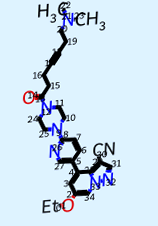 CCOc1cc(-c2ccc(N3CCN(C(=O)CCC#CCCN(C)C)CC3)nc2)c2c(C#N)cnn2c1